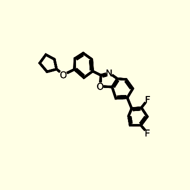 Fc1ccc(-c2ccc3nc(-c4cccc(OC5CCCC5)c4)oc3c2)c(F)c1